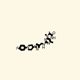 Cc1nc(NCc2cnn(C3CCN(c4ccc(F)cc4)CC3)c2)nc2c1NC(=O)[C@H](C)N2C